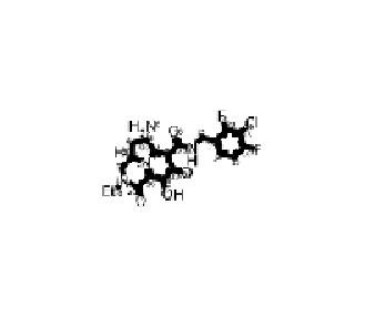 CCN1C[C@H]2C[C@H](N)c3c(C(=O)NCc4ccc(F)c(Cl)c4F)c(=O)c(O)c(n32)C1=O